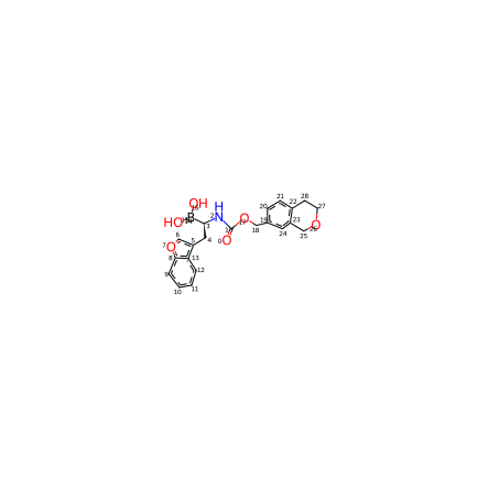 O=C(N[C@@H](Cc1coc2ccccc12)B(O)O)OCc1ccc2c(c1)COCC2